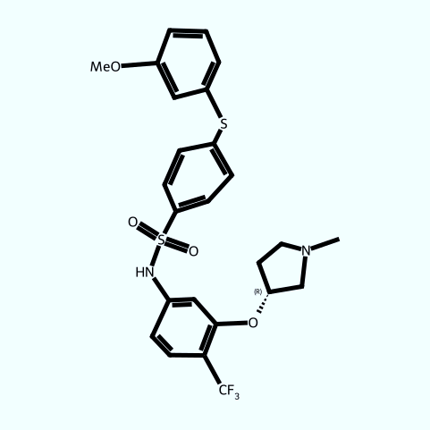 COc1cccc(Sc2ccc(S(=O)(=O)Nc3ccc(C(F)(F)F)c(O[C@@H]4CCN(C)C4)c3)cc2)c1